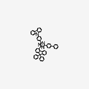 c1ccc(-c2ccc(-c3nc(-c4ccc(-n5c6ccccc6c6ccccc65)cc4)nc(-c4cccc5c4-c4ccccc4C5(c4ccccc4)c4ccccc4)n3)cc2)cc1